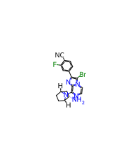 N#Cc1ccc(-c2nc3c(N4[C@@H]5CC[C@H]4[C@@H](N)C5)nccn3c2Br)cc1F